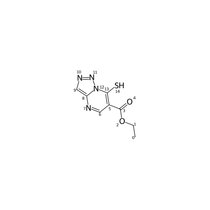 CCOC(=O)c1cnc2cnnn2c1S